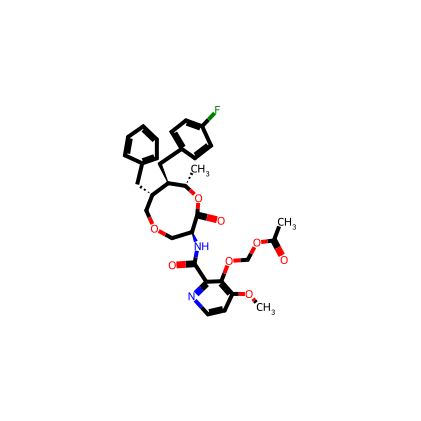 COc1ccnc(C(=O)N[C@H]2COC[C@H](Cc3ccccc3)[C@@H](Cc3ccc(F)cc3)[C@H](C)OC2=O)c1OCOC(C)=O